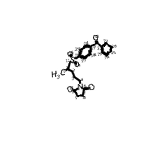 CC(CCCN1C(=O)CCC1=O)CS(=O)(=O)c1ccc(C(=O)c2ccccc2)cc1